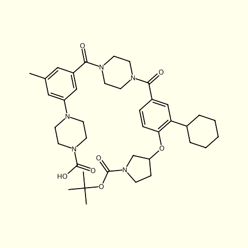 Cc1cc(C(=O)N2CCN(C(=O)c3ccc(OC4CCN(C(=O)OC(C)(C)C)C4)c(C4CCCCC4)c3)CC2)cc(N2CCN(C(=O)O)CC2)c1